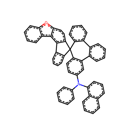 c1ccc(N(c2ccc3c(c2)-c2ccccc2-c2ccccc2C32c3ccccc3-c3c2ccc2oc4ccccc4c32)c2cccc3ccccc23)cc1